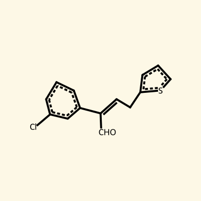 O=CC(=CCc1cccs1)c1cccc(Cl)c1